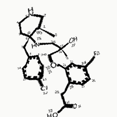 C[C@@H]1CNCC[C@@]1(Cc1ccc(Cl)cc1)NC[C@](C)(O)COc1cc(F)ccc1CC(=O)O